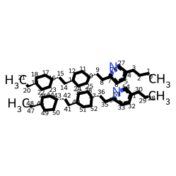 CCCCc1ccc(CC[C@H]2CC[C@H](CC[C@H]3CC[C@H](CC)CC3)CC2)nc1.CCCc1ccc(CC[C@H]2CC[C@H](CC[C@H]3CC[C@H](CC)CC3)CC2)nc1